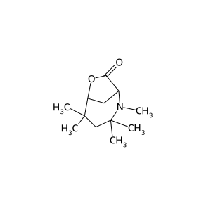 CN1C2CC(OC2=O)C(C)(C)CC1(C)C